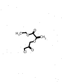 C=C(OCC(=O)CCl)C(=O)OCC